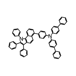 c1ccc(-c2ccc(N(c3ccc(-c4ccccc4)cc3)c3ccc(-c4cccc5c4ccc4c(-c6ccccc6)c(-c6ccccc6)n(-c6ccccc6)c45)cc3)cc2)cc1